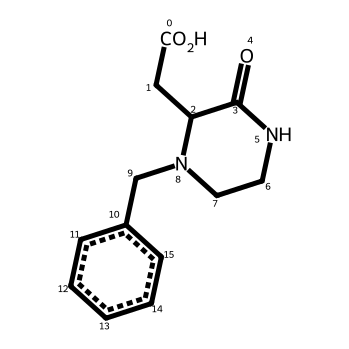 O=C(O)CC1C(=O)NCCN1Cc1ccccc1